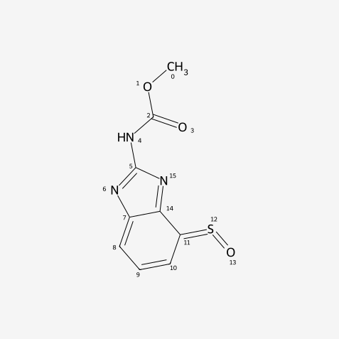 COC(=O)NC1=NC2=CC=CC(=S=O)C2=N1